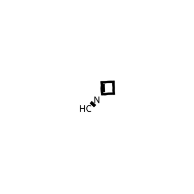 C#N.C1=CCC1